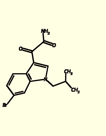 CC(C)Cn1cc(C(=O)C(N)=O)c2ccc(Br)cc21